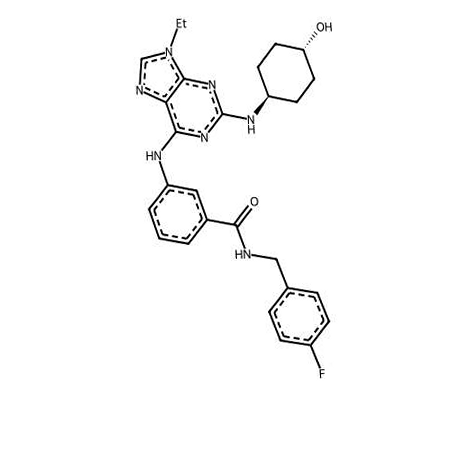 CCn1cnc2c(Nc3cccc(C(=O)NCc4ccc(F)cc4)c3)nc(N[C@H]3CC[C@H](O)CC3)nc21